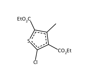 CCOC(=O)c1sc(Cl)c(C(=O)OCC)c1C